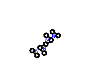 c1ccc2c(c1)c1ccccc1n2-c1ccc2c3cc4c(cc3n3c5ccccc5c1c23)c1ccc(-n2c3ccccc3c3ccccc32)c2c3ccccc3n4c12